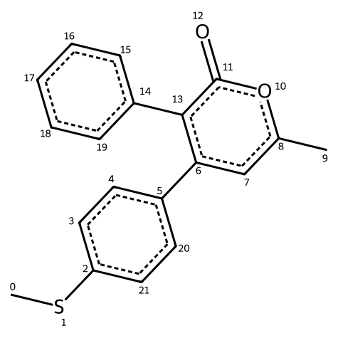 CSc1ccc(-c2cc(C)oc(=O)c2-c2ccccc2)cc1